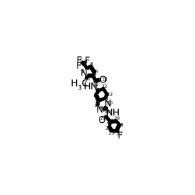 Cc1nc(C(F)(F)F)ccc1C(=O)NC1C=C2C=NC(NC(=O)c3ccc(F)cc3)=NC2CC1